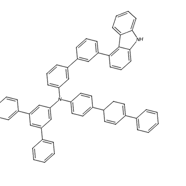 C1=CC(c2ccc(N(c3cccc(-c4cccc(-c5cccc6[nH]c7ccccc7c56)c4)c3)c3cc(-c4ccccc4)cc(-c4ccccc4)c3)cc2)CC=C1c1ccccc1